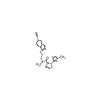 C=C(CCCn1ncc2cc(C#N)ccc21)C(=O)N1N=CCC1c1nc(C)cs1